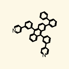 c1ccc(-c2ccccc2-c2ccc3c(-c4cccc(-c5ccncc5)c4)c4ccccc4c(-c4cccc(-c5ccncc5)c4)c3c2)cc1